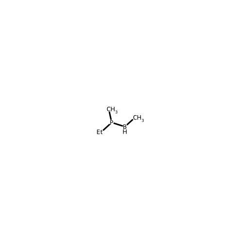 CBP(C)CC